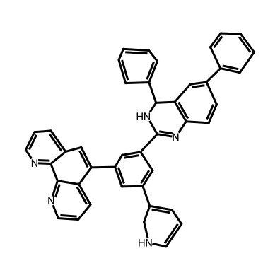 C1=CNCC(c2cc(C3=Nc4ccc(-c5ccccc5)cc4C(c4ccccc4)N3)cc(-c3cc4cccnc4c4ncccc34)c2)=C1